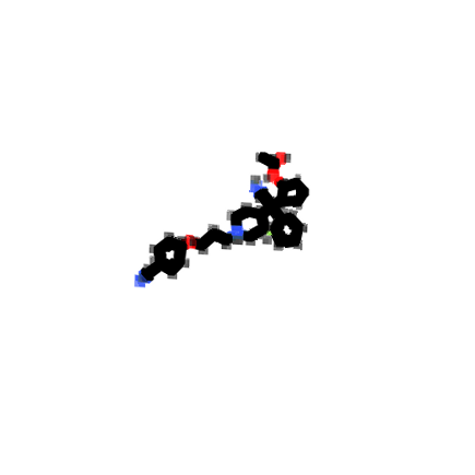 CC(=O)OC1CCCC1C(C#N)(c1ccccc1F)C1CCN(CCCOc2ccc(C#N)cc2)CC1